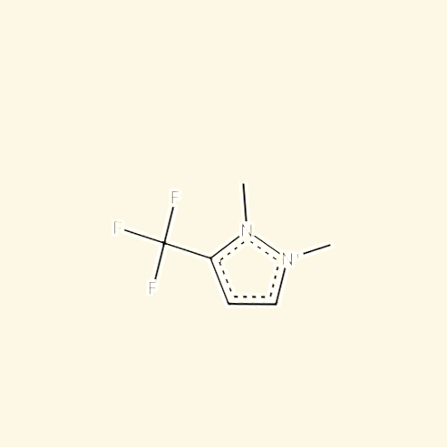 Cn1c(C(F)(F)F)cc[n+]1C